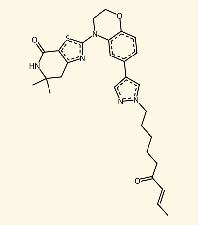 C/C=C/C(=O)CCCCCn1cc(-c2ccc3c(c2)N(c2nc4c(s2)C(=O)NC(C)(C)C4)CCO3)cn1